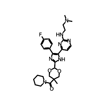 CN(C)CCNc1nccc(-c2[nH]c(C3OCC(C)(C(=O)N4CCCCC4)CO3)nc2-c2ccc(F)cc2)n1